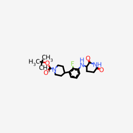 CC(C)(C)OC(=O)N1CCC(c2cccc(NC3CCC(=O)NC3=O)c2F)CC1